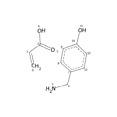 C=CC(=O)O.NCc1ccc(O)cc1